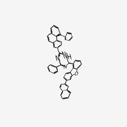 c1ccc(C2=NC(c3cccc4oc5cc(-c6ccc7ccccc7c6)ccc5c34)NC(c3ccc4c(ccc5cccc(-c6ccccc6)c54)c3)=N2)cc1